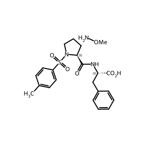 CON.Cc1ccc(S(=O)(=O)N2CCC[C@H]2C(=O)N[C@@H](Cc2ccccc2)C(=O)O)cc1